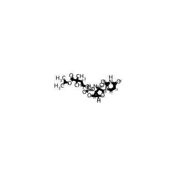 CC(C)OC(=O)C(C)(C)CCO[P@]1(=O)OC2[C@H]3O[C@@H](n4ccc(=O)[nH]c4=O)[C@](C)(N)[C@@]23O1